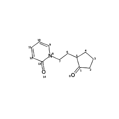 O=C1CCCC1CCn1ccccc1=O